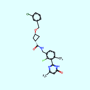 O=c1cc(C(F)(F)F)nc(-c2c(C(F)(F)F)ccc(CNC(=O)[C@H]3C[C@H](OCc4cccc(Cl)c4)C3)c2F)[nH]1